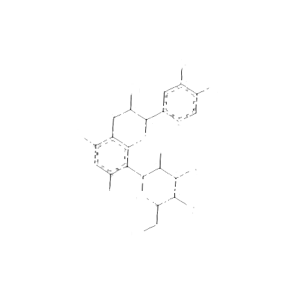 OCC1OC(c2c(O)cc(O)c3c2OC(c2ccc(O)c(O)c2)C(O)C3)C(O)C(O)C1O